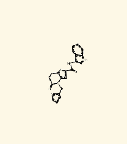 O=C(Nc1c[nH]c2ccccc12)c1cc2c(s1)SCC(=O)N2Cc1cccs1